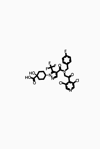 O=C(CN(Cc1ccc(F)cc1)C(=O)c1cnn([C@H]2CC[C@@](O)(C(=O)O)CC2)c1C(F)(F)F)c1c(Cl)cncc1Cl